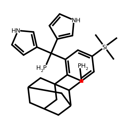 C[Si](C)(C)c1ccc(C23CC4CC(CC(C4)C2CP)C3)c(C(P)(c2cc[nH]c2)c2cc[nH]c2)c1